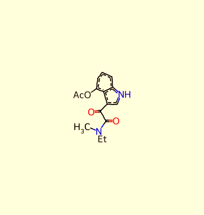 CCN(C)C(=O)C(=O)c1c[nH]c2cccc(OC(C)=O)c12